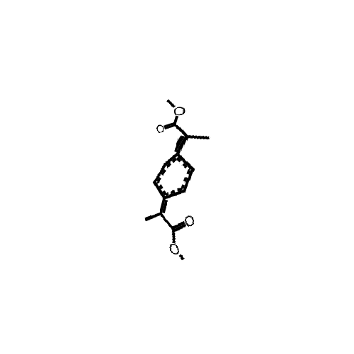 COC(=O)C(C)=c1ccc(=C(C)C(=O)OC)cc1